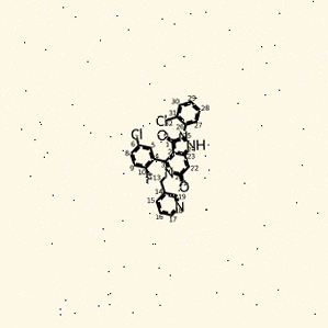 O=c1c2c(-c3cc(Cl)ccc3F)n(Cc3cccnc3)c(=O)cc2[nH]n1-c1ccccc1Cl